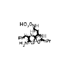 CCCC(=O)NC(CCNC(=O)O)C(=O)NC(CC(C)C)C(N)=O